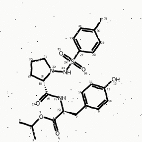 CC(C)OC(=O)[C@H](Cc1ccc(O)cc1)NC(=O)[C@@H]1CCCN1NS(=O)(=O)c1ccc(F)cc1